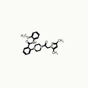 COc1ccccc1NC(=O)c1ccccc1N1CCN(C(=O)Cn2nc(C)cc2C)CC1